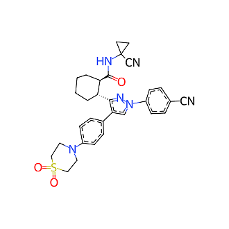 N#Cc1ccc(-n2cc(-c3ccc(N4CCS(=O)(=O)CC4)cc3)c([C@@H]3CCCC[C@H]3C(=O)NC3(C#N)CC3)n2)cc1